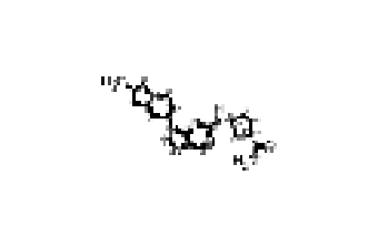 Cc1cc2cc(-n3nnc4cnc(N[C@@H]5CC[C@@H](C(N)=O)C5)nc43)ccn2c1